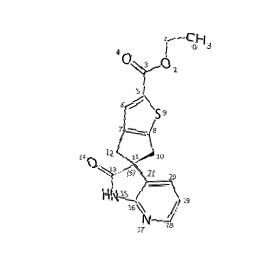 CCOC(=O)c1cc2c(s1)C[C@]1(C2)C(=O)Nc2ncccc21